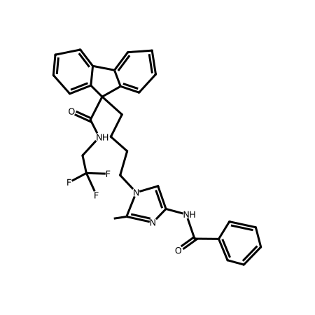 Cc1nc(NC(=O)c2ccccc2)cn1CCCCC1(C(=O)NCC(F)(F)F)c2ccccc2-c2ccccc21